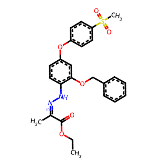 CCOC(=O)/C(C)=N\Nc1ccc(Oc2ccc(S(C)(=O)=O)cc2)cc1OCc1ccccc1